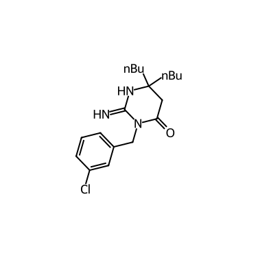 CCCCC1(CCCC)CC(=O)N(Cc2cccc(Cl)c2)C(=N)N1